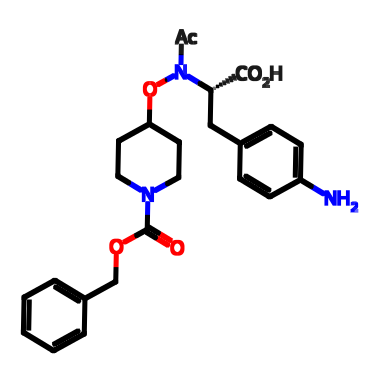 CC(=O)N(OC1CCN(C(=O)OCc2ccccc2)CC1)[C@@H](Cc1ccc(N)cc1)C(=O)O